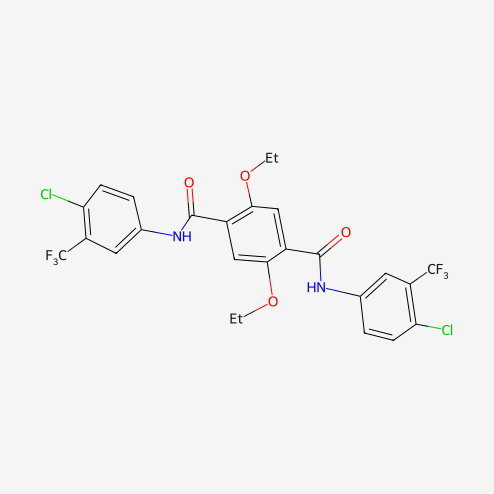 CCOc1cc(C(=O)Nc2ccc(Cl)c(C(F)(F)F)c2)c(OCC)cc1C(=O)Nc1ccc(Cl)c(C(F)(F)F)c1